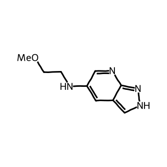 COCCNc1cnc2n[nH]cc2c1